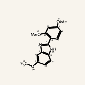 COc1ccc(-c2nc3cc(OC(F)(F)F)ccc3[nH]2)c(OC)c1